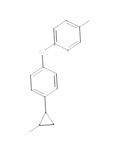 NC1CC1c1ccc(Nc2ccc(Cl)cc2)cc1